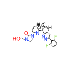 CC1(C)[C@H]2CC[C@@]1(c1cccc(N3CCN(CCO)C3=O)n1)c1nnc(-c3c(F)cccc3F)cc12